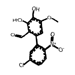 COc1cc(-c2cc(Cl)ccc2[N+](=O)[O-])c(C=O)c(O)c1O